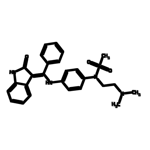 CN(C)CCN(c1ccc(NC(=C2C(=O)Nc3ccccc32)c2ccccc2)cc1)S(C)(=O)=O